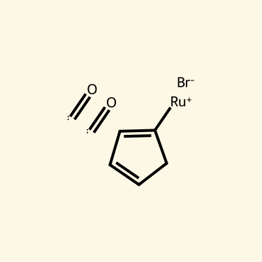 [Br-].[C]=O.[C]=O.[Ru+][C]1=CC=CC1